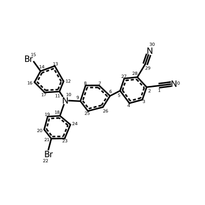 N#Cc1ccc(-c2ccc(N(c3ccc(Br)cc3)c3ccc(Br)cc3)cc2)cc1C#N